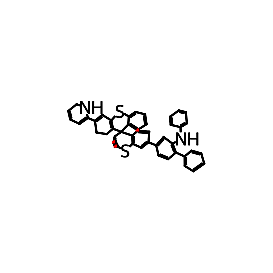 C1=CCNC(C2=CC3=C(CC2)C2(c4ccccc4S3)c3ccccc3Sc3cc(-c4ccc(-c5ccccc5)c(Nc5ccccc5)c4)ccc32)=C1